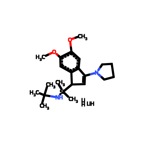 COc1cc2c(cc1OC)C([Si](C)(C)NC(C)(C)C)C=C2N1CCCC1.[LiH].[LiH]